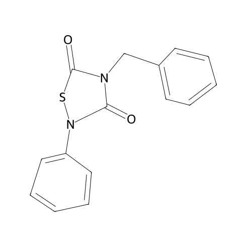 O=c1sn(-c2ccccc2)c(=O)n1Cc1ccccc1